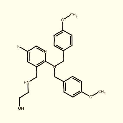 COc1ccc(CN(Cc2ccc(OC)cc2)c2ncc(F)cc2CNCCO)cc1